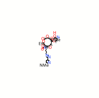 CC[C@H]1OC(=O)[C@H](C)C(=O)[C@H](C)[C@@H](OC2O[C@H](C)C[C@H](N(C)C)[C@H]2O)[C@@](C)(OC)C[C@@H](C)C(=O)[C@H](C)[C@H]2N(CCCCn3cnc(-c4ccc(NC)nc4)c3)C(=O)O[C@]12C